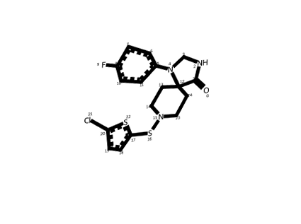 O=C1NCN(c2ccc(F)cc2)C12CCN(Sc1ccc(Cl)s1)CC2